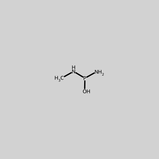 CNP(N)O